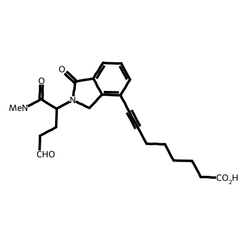 CNC(=O)C(CCC=O)N1Cc2c(C#CCCCCCC(=O)O)cccc2C1=O